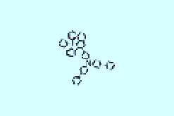 c1ccc(-c2ccc(N(c3ccc(-c4ccccc4)cc3)c3ccc(-c4cc5ccccc5c5c4-c4ccccc4C5(c4ccccc4)c4ccccc4)cc3)cc2)cc1